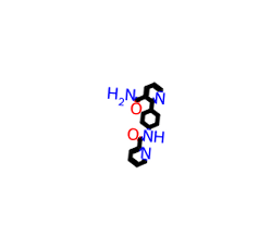 NC(=O)c1cccnc1C1CCC(NC(=O)c2ccccn2)CC1